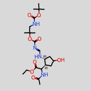 CCOC(=O)C(NC(C)=O)[C@@H]1CC(O)C[C@H]1NC=NC(=O)OC(C)(C)CNC(=O)OC(C)(C)C